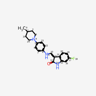 CC1CCN(c2ccc(NC=C3C(=O)Nc4cc(F)ccc43)cc2)CC1